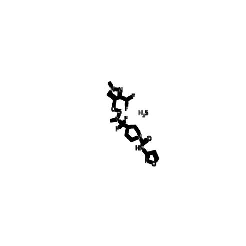 CN(SOc1cn(C)nc1C(F)F)C(F)(F)C1CCN(C(=O)Nc2ccon2)CC1.S